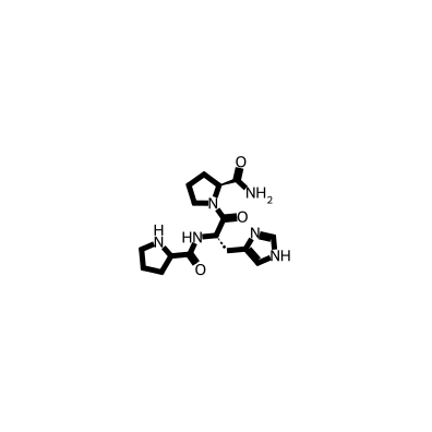 NC(=O)[C@@H]1CCCN1C(=O)[C@H](Cc1c[nH]cn1)NC(=O)C1CCCN1